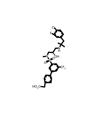 CN(C[C@H](O)CNC(C)(C)Cc1ccc(Cl)c(F)c1)S(=O)(=O)c1cc(-c2ccc(CC(=O)O)cc2)cc(C(F)(F)F)c1